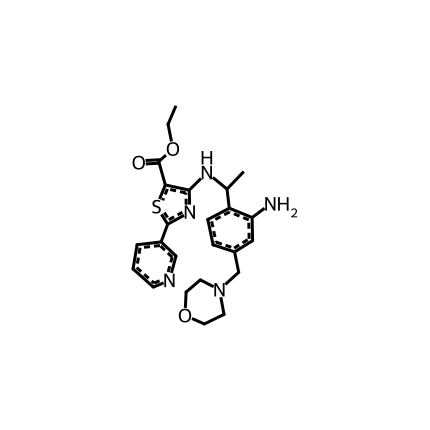 CCOC(=O)c1sc(-c2cccnc2)nc1NC(C)c1ccc(CN2CCOCC2)cc1N